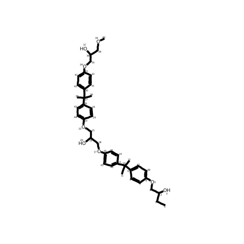 CCC(O)COc1ccc(C(C)(C)c2ccc(OCC(O)COc3ccc(C(C)(C)c4ccc(OCC(O)COC)cc4)cc3)cc2)cc1